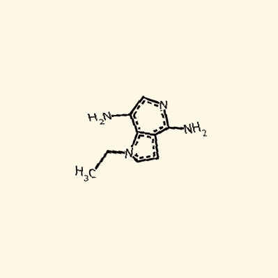 CCn1ccc2c(N)ncc(N)c21